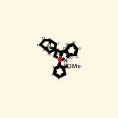 COc1c[c]ccc1OCCN1C2CCC1CC(c1n[nH]c3ccccc13)C2